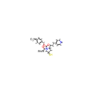 CNC(=O)[N+]1(C(=O)OCc2ccc([N+](=O)[O-])cc2)C[C@@H](S)C[C@@H]1CCCc1ccncc1